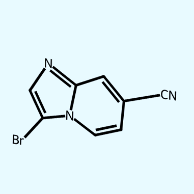 N#Cc1ccn2c(Br)cnc2c1